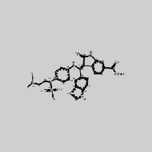 COC(=O)c1ccc2c(c1)NC(=O)/C2=C(\Nc1ccc(N(CCN(C)C)S(C)(=O)=O)cc1)c1ccc2ncsc2c1